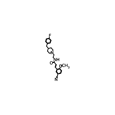 COc1ccc(C#N)cc1C=CC(=O)NCCN1CCC(Cc2ccc(F)cc2)CC1